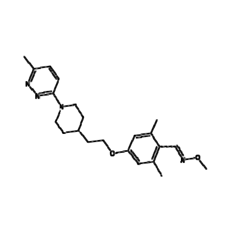 CON=Cc1c(C)cc(OCCC2CCN(c3ccc(C)nn3)CC2)cc1C